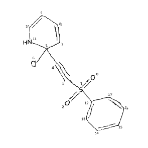 O=S(=O)(C#CC1(Cl)C=CC=CN1)c1ccccc1